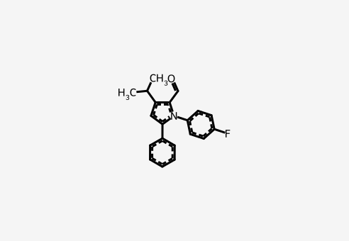 CC(C)c1cc(-c2ccccc2)n(-c2ccc(F)cc2)c1C=O